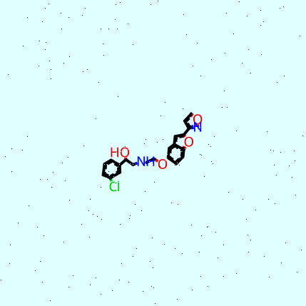 OC(CNCCOc1ccc2oc(-c3ccon3)cc2c1)c1cccc(Cl)c1